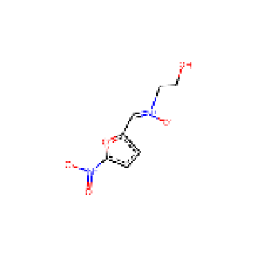 O=[N+]([O-])c1ccc(C=[N+]([O-])CCO)o1